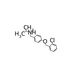 CC(C)NCc1ccc(OCc2ccccc2Cl)cc1